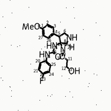 COc1ccc(C2CN[C@H]3N(OCCO)C23NC(=O)Nc2ccc(F)cc2)cc1